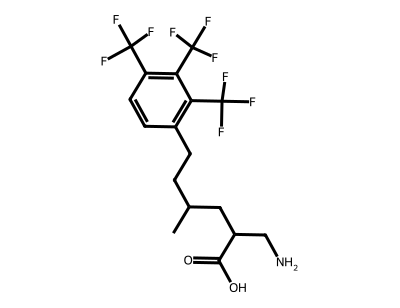 CC(CCc1ccc(C(F)(F)F)c(C(F)(F)F)c1C(F)(F)F)CC(CN)C(=O)O